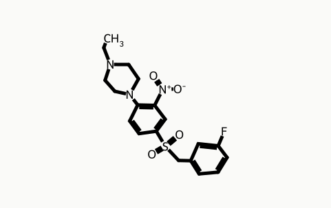 CCN1CCN(c2ccc(S(=O)(=O)Cc3cccc(F)c3)cc2[N+](=O)[O-])CC1